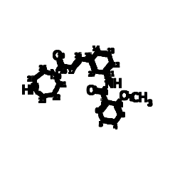 COc1ccccc1C(=O)Nc1cccc(/C=C/C(=O)N2CCCNCC2)c1